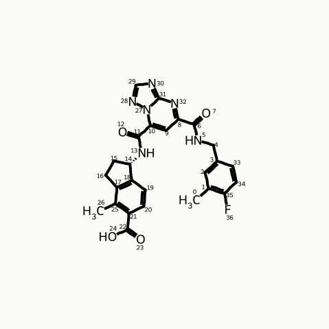 Cc1cc(CNC(=O)c2cc(C(=O)N[C@H]3CCc4c3ccc(C(=O)O)c4C)n3ncnc3n2)ccc1F